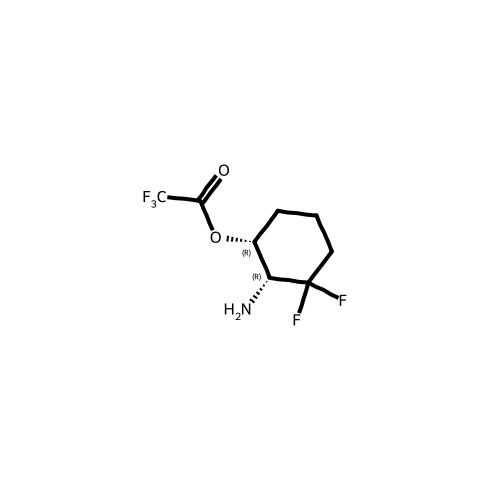 N[C@@H]1[C@H](OC(=O)C(F)(F)F)CCCC1(F)F